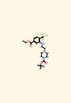 CCOC(=O)c1ccc(C(F)(F)F)c(NCCN2CCN(C(=O)OC(C)(C)C)CC2)c1